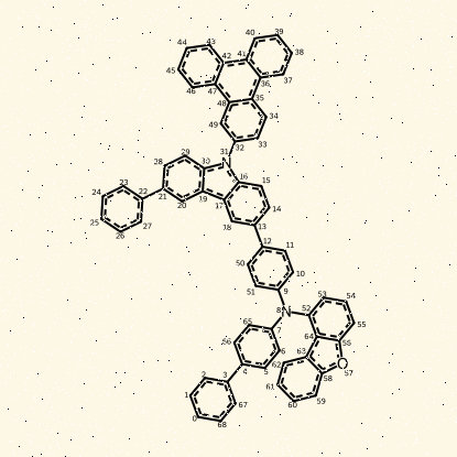 c1ccc(-c2ccc(N(c3ccc(-c4ccc5c(c4)c4cc(-c6ccccc6)ccc4n5-c4ccc5c6ccccc6c6ccccc6c5c4)cc3)c3cccc4oc5ccccc5c34)cc2)cc1